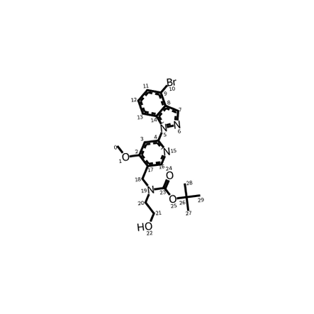 COc1cc(-n2ncc3c(Br)cccc32)ncc1CN(CCO)C(=O)OC(C)(C)C